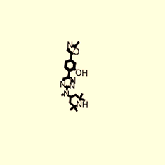 Cc1ncc(-c2ccc(-c3cnc(N(C)C4CC(C)(C)NC(C)(C)C4)nn3)c(O)c2)o1